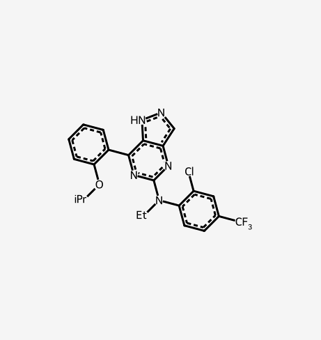 CCN(c1nc(-c2ccccc2OC(C)C)c2[nH]ncc2n1)c1ccc(C(F)(F)F)cc1Cl